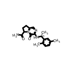 Cc1ccc(C)c([C@@H](C)Nc2ncc3n(c2=O)C(C(N)=O)CC3)c1